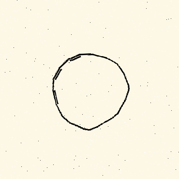 C1=CC=CCCCCCCCCCCCCC=C1